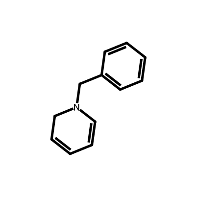 C1=CCN(Cc2ccccc2)C=C1